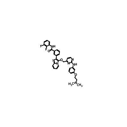 CN(C)CCOc1cccc(Nc2nccc(COc3c(-c4cccc(C(=O)Nc5cccc(F)c5F)c4)nc4ccccn34)n2)c1